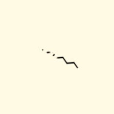 CCCC/N=N/OO